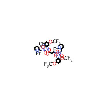 CCN1CCCCC1CNC(=O)N(OC(=O)/C=C/C(=O)ON(C(=O)NCC1CCCCN1CC)c1cc(OCC(F)(F)F)ccc1OCC(F)(F)F)c1cc(OCC(F)(F)F)ccc1OCC(F)(F)F